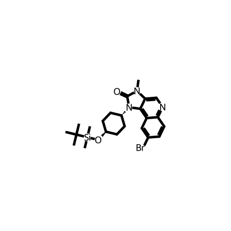 Cn1c(=O)n([C@H]2CC[C@H](O[Si](C)(C)C(C)(C)C)CC2)c2c3cc(Br)ccc3ncc21